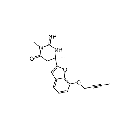 CC#CCOc1cccc2cc(C3(C)CC(=O)N(C)C(=N)N3)oc12